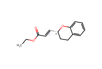 CCOC(=O)/C=C/[C@H]1CCc2ccccc2O1